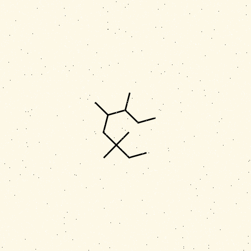 [CH2]CC(C)(C)CC(C)C(C)CC